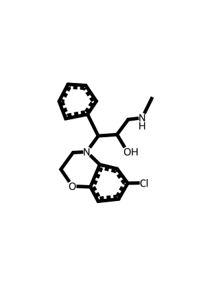 CNCC(O)C(c1ccccc1)N1CCOc2ccc(Cl)cc21